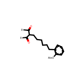 CCC(=O)C(CCCCCCc1ccccc1OC)C(=O)CC